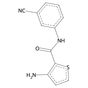 N#Cc1cccc(NC(=O)c2sccc2N)c1